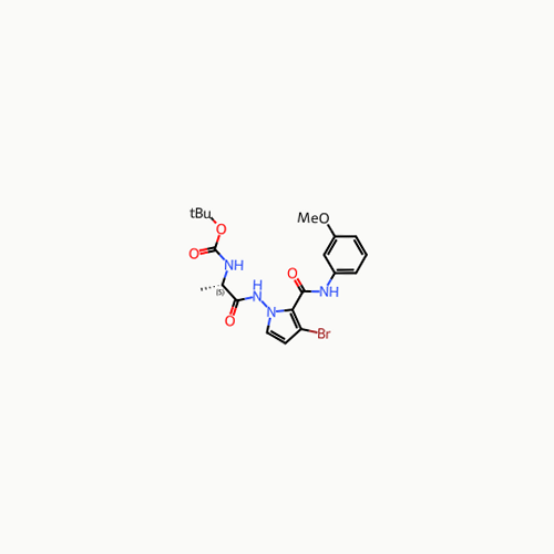 COc1cccc(NC(=O)c2c(Br)ccn2NC(=O)[C@H](C)NC(=O)OC(C)(C)C)c1